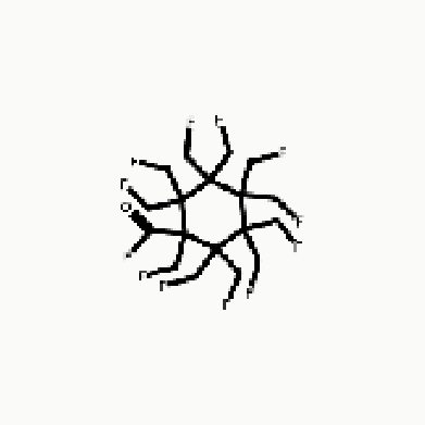 O=C(F)C1(CF)C(CF)(CF)C(CF)(CF)C(CF)(CF)C(CF)(CF)C1(CF)CF